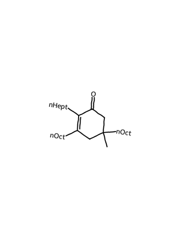 CCCCCCCCC1=C(CCCCCCC)C(=O)CC(C)(CCCCCCCC)C1